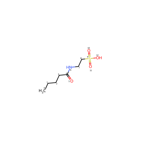 CCCCC(=O)NCCS(=O)(=O)O